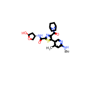 CC[C@@H](C)Nc1cc(C)c(-c2sc(C(=O)N[C@@H]3CO[C@@H](O)C3)nc2C(=O)N2C3CCC2CC3)cn1